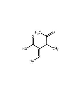 CC(=O)C(C)C(=CO)C(=O)O